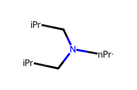 CC[CH]N(CC(C)C)CC(C)C